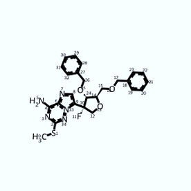 CSc1nc(N)c2ncc([C@]3(F)CO[C@H](COCc4ccccc4)[C@H]3OCc3ccccc3)n2n1